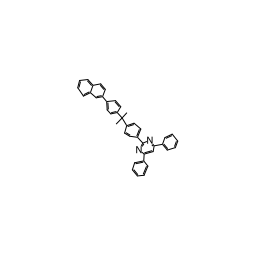 CC(C)(c1ccc(-c2ccc3ccccc3c2)cc1)c1ccc(-c2nc(-c3ccccc3)cc(-c3ccccc3)n2)cc1